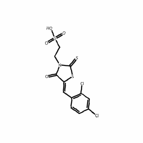 O=C1C(=Cc2ccc(Cl)cc2Cl)SC(=S)N1CCS(=O)(=O)O